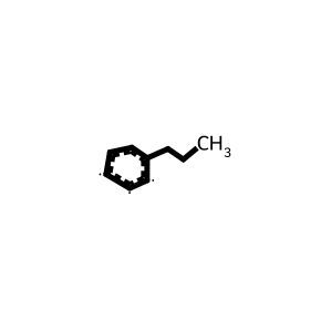 CCCc1[c][c][c]cc1